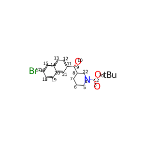 CC(C)(C)OC(=O)N1CCCC(C(=O)c2ccc3cc(Br)ccc3c2)C1